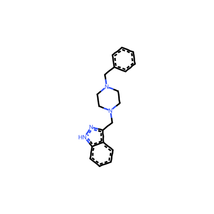 c1ccc(CN2CCN(Cc3n[nH]c4ccccc34)CC2)cc1